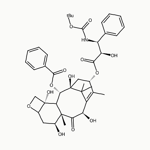 CC1=C2[C@@H](O)C(=O)[C@@]3(C)C([C@H](OC(=O)c4ccccc4)[C@](O)(C[C@@H]1OC(=O)[C@H](O)[C@@H](NC(=O)OC(C)(C)C)c1ccccc1)C2(C)C)[C@]1(O)COC1C[C@@H]3O